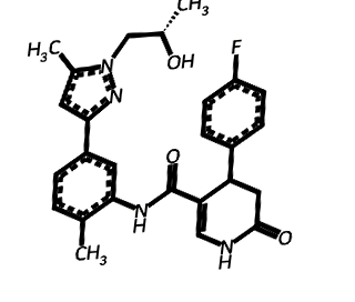 Cc1ccc(-c2cc(C)n(C[C@H](C)O)n2)cc1NC(=O)C1=CNC(=O)CC1c1ccc(F)cc1